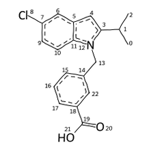 CC(C)c1cc2cc(Cl)ccc2n1Cc1cccc(C(=O)O)c1